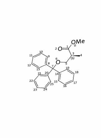 COC(=O)[C@@H](C)COC(c1ccccc1)(c1ccccc1)c1ccccc1